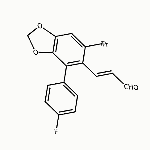 CC(C)c1cc2c(c(-c3ccc(F)cc3)c1C=CC=O)OCO2